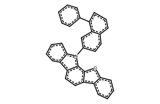 c1ccc(-c2cccc3ccc(-n4c5ccccc5c5ccc6c7ccccc7oc6c54)cc23)cc1